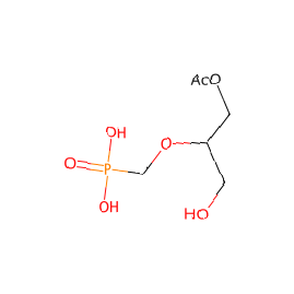 CC(=O)OCC(CO)OCP(=O)(O)O